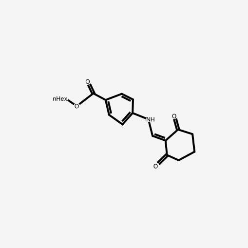 CCCCCCOC(=O)c1ccc(NC=C2C(=O)CCCC2=O)cc1